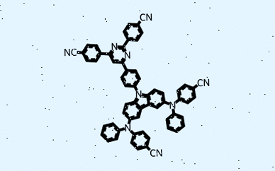 N#Cc1ccc(-c2cc(-c3ccc(-n4c5ccc(N(c6ccccc6)c6ccc(C#N)cc6)cc5c5cc(N(c6ccccc6)c6ccc(C#N)cc6)ccc54)cc3)nc(-c3ccc(C#N)cc3)n2)cc1